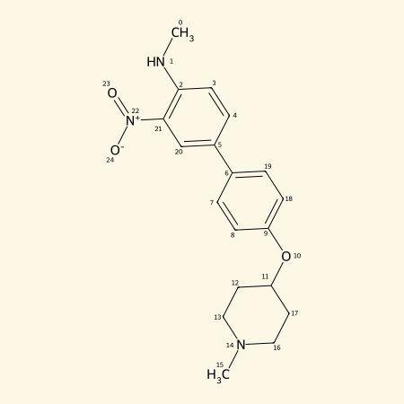 CNc1ccc(-c2ccc(OC3CCN(C)CC3)cc2)cc1[N+](=O)[O-]